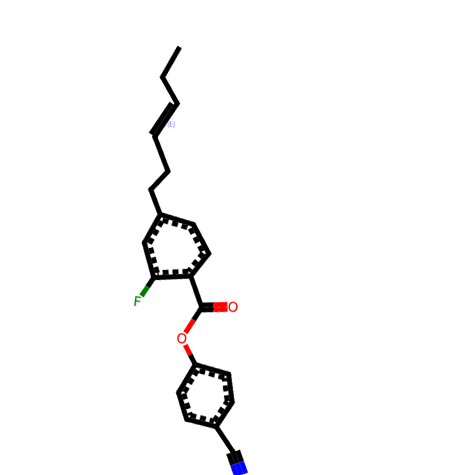 CC/C=C/CCc1ccc(C(=O)Oc2ccc(C#N)cc2)c(F)c1